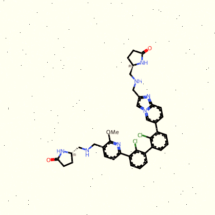 COc1nc(-c2cccc(-c3cccc(-c4ccc5nc(CNC[C@H]6CCC(=O)N6)cn5c4)c3Cl)c2Cl)ccc1CNC[C@@H]1CCC(=O)N1